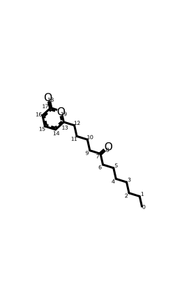 CCCCCCCC(=O)CCCCc1cccc(=O)o1